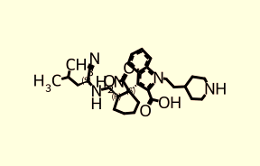 CC(C)C[C@@H](C#N)NC(=O)[C@@H]1CCCC[C@@]1(C(N)=O)c1c(C(=O)O)n(CCC2CCNCC2)c2ccccc12